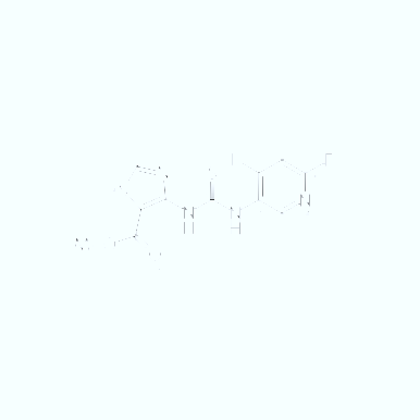 COC(=O)c1scnc1NC(=S)Nc1cnc(F)cc1F